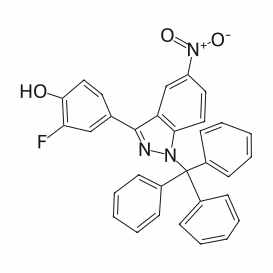 O=[N+]([O-])c1ccc2c(c1)c(-c1ccc(O)c(F)c1)nn2C(c1ccccc1)(c1ccccc1)c1ccccc1